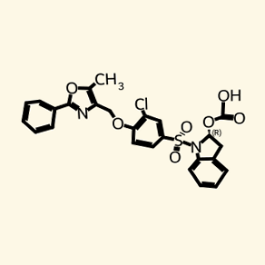 Cc1oc(-c2ccccc2)nc1COc1ccc(S(=O)(=O)N2c3ccccc3C[C@H]2OC(=O)O)cc1Cl